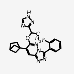 CC(Oc1nn2c(-c3ccccc3F)nnc2cc1C12CCC(C1)C2)c1nc[nH]n1